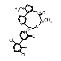 C[C@@H]1CCC[C@H](n2ccc(-c3c(Cl)ccc(Cl)c3F)cc2=O)c2cc(ccn2)-c2c(ccn2C)NC1=O